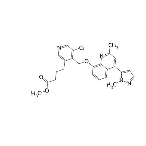 COC(=O)CCCc1cncc(Cl)c1COc1cccc2c(-c3ccnn3C)cc(C)nc12